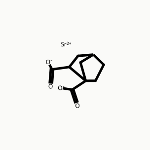 O=C([O-])C1CC2CCC1(C(=O)[O-])C2.[Sr+2]